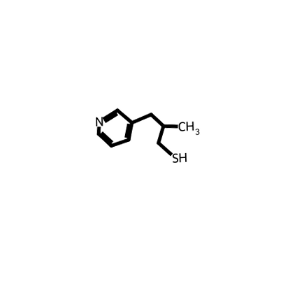 CC(CS)Cc1cccnc1